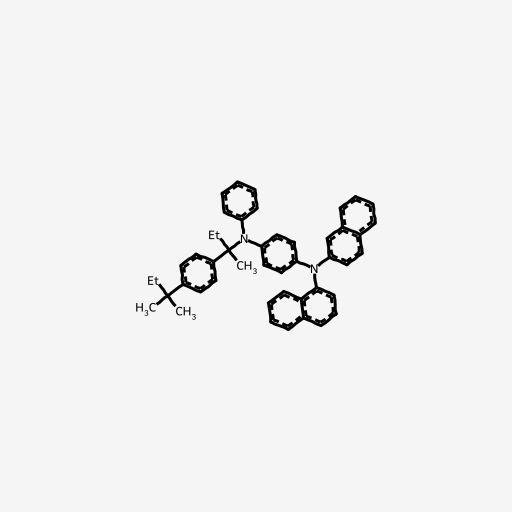 CCC(C)(C)c1ccc(C(C)(CC)N(c2ccccc2)c2ccc(N(c3ccc4ccccc4c3)c3cccc4ccccc34)cc2)cc1